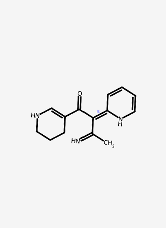 CC(=N)/C(C(=O)C1=CNCCC1)=C1/C=CC=CN1